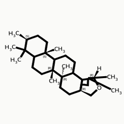 C[C@H]1CC[C@@]2(C)C(CC[C@]3(C)C2CCC2C4[C@H]5OC[C@@]4(CCC5(C)C)CC[C@]23C)C1(C)C